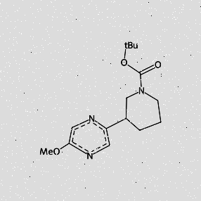 COc1cnc(C2CCCN(C(=O)OC(C)(C)C)C2)cn1